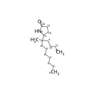 CCCCCCCC(C)(CCCC)C1CCC(=O)N1